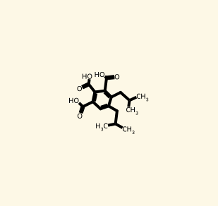 CC(C)Cc1cc(C(=O)O)c(C(=O)O)c(C(=O)O)c1CC(C)C